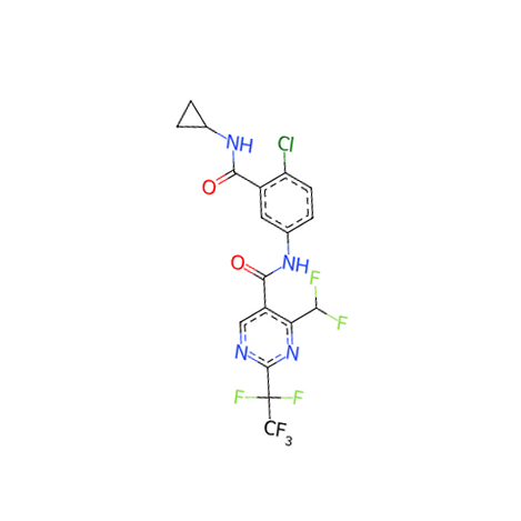 O=C(NC1CC1)c1cc(NC(=O)c2cnc(C(F)(F)C(F)(F)F)nc2C(F)F)ccc1Cl